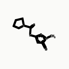 Cn1sc(SC(=S)N2CCCC2)cc1=O